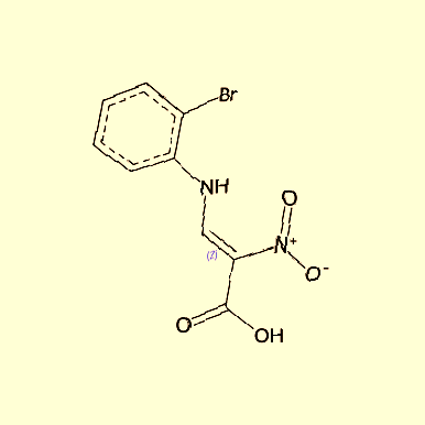 O=C(O)/C(=C/Nc1ccccc1Br)[N+](=O)[O-]